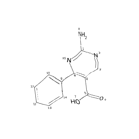 Nc1ncc(C(=O)O)c(-c2ccccc2)n1